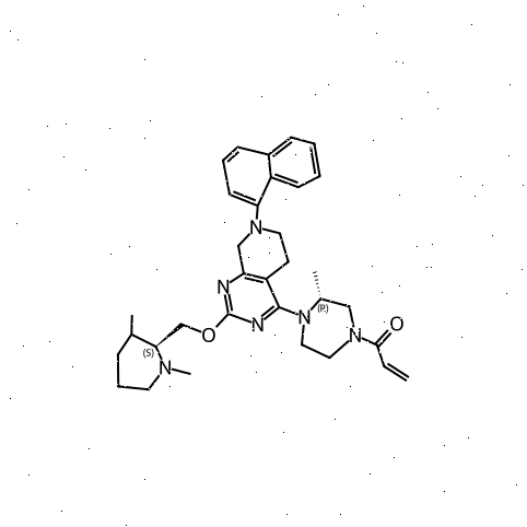 C=CC(=O)N1CCN(c2nc(OC[C@@H]3C(C)CCCN3C)nc3c2CCN(c2cccc4ccccc24)C3)[C@H](C)C1